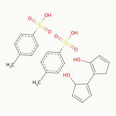 Cc1ccc(S(=O)(=O)O)cc1.Cc1ccc(S(=O)(=O)O)cc1.OC1=C(C2=CC=CC2O)CC=C1